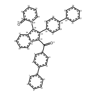 O=C(c1ccc(-c2ccccc2)cc1)c1c(-c2ccc(-c3ccccc3)cc2)c(-n2ccccc2=O)c2ccccn12